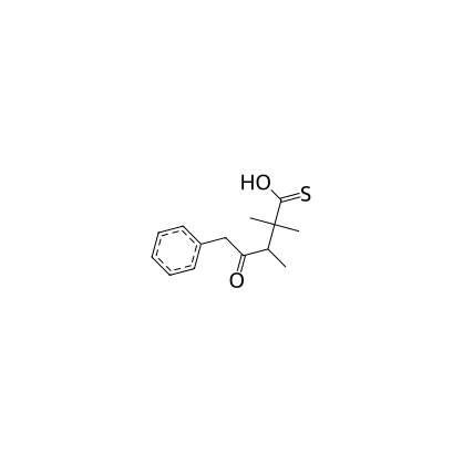 CC(C(=O)Cc1ccccc1)C(C)(C)C(O)=S